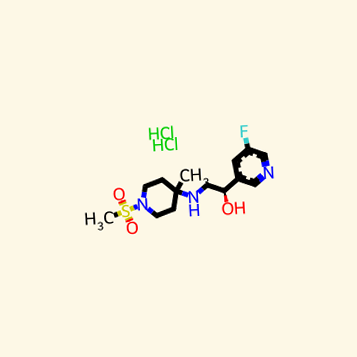 CC1(NC[C@H](O)c2cncc(F)c2)CCN(S(C)(=O)=O)CC1.Cl.Cl